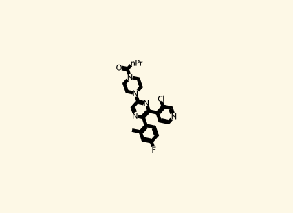 CCCC(=O)N1CCN(c2cnc(-c3ccc(F)cc3C)c(-c3ccncc3Cl)n2)CC1